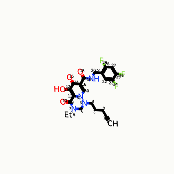 C#CCCCN1CN(CC)C(=O)c2c(O)c(=O)c(C(=O)NCc3cc(F)c(F)cc3F)cn21